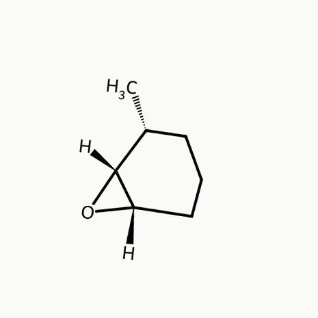 C[C@@H]1CCC[C@@H]2O[C@H]12